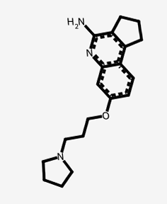 Nc1nc2cc(OCCCN3CCCC3)ccc2c2c1CCC2